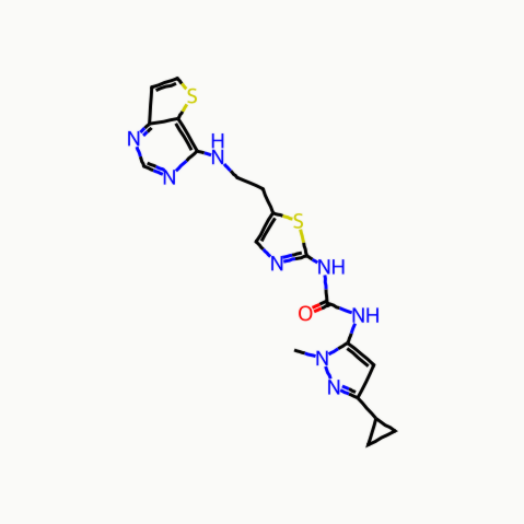 Cn1nc(C2CC2)cc1NC(=O)Nc1ncc(CCNc2ncnc3ccsc23)s1